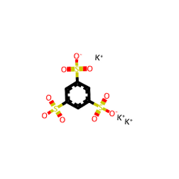 O=S(=O)([O-])c1cc(S(=O)(=O)[O-])cc(S(=O)(=O)[O-])c1.[K+].[K+].[K+]